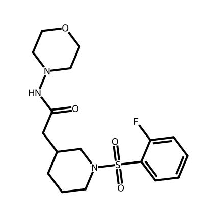 O=C(CC1CCCN(S(=O)(=O)c2ccccc2F)C1)NN1CCOCC1